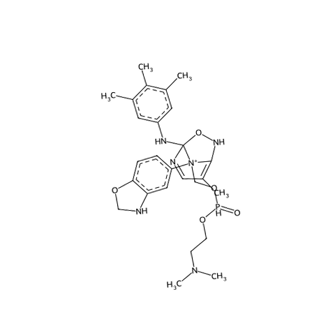 CC1=C2NOC(Nc3cc(C)c(C)c(C)c3)(N=C1)[N+]2(CO[PH](=O)OCCN(C)C)c1ccc2c(c1)NCO2